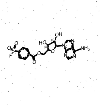 Nc1ncnc2c1ncn2C1OC(COC(=O)c2ccc(S(=O)(=O)F)cc2)[C@@H](O)[C@H]1O